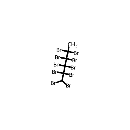 [CH2]C(Br)(Br)C(Br)(Br)C(Br)(Br)C(Br)(Br)C(Br)Br